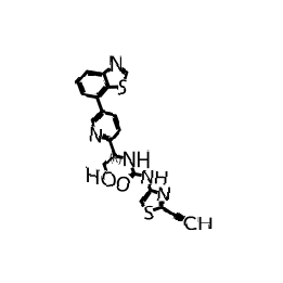 C#Cc1nc(NC(=O)N[C@@H](CO)c2ccc(-c3cccc4ncsc34)cn2)cs1